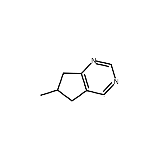 CC1Cc2[c]ncnc2C1